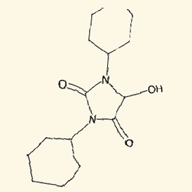 O=C1C(O)N(C2CCCCC2)C(=O)N1C1CCCCC1